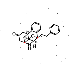 O=C1CC[C@@]2(OCCCc3ccccc3)[C@H]3Cc4ccccc4[C@@]2(CCN3)C1